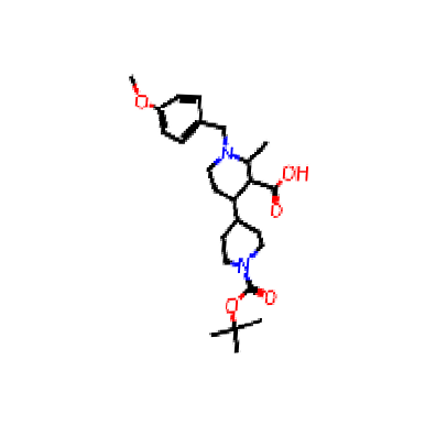 COc1ccc(CN2CCC(C3CCN(C(=O)OC(C)(C)C)CC3)C(C(=O)O)C2C)cc1